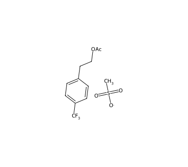 CC(=O)OCCc1ccc(C(F)(F)F)cc1.CS([O])(=O)=O